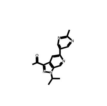 CC(=O)c1nn(C(C)C)c2cnc(-c3cnc(C)nc3)cc12